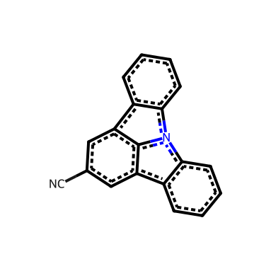 N#Cc1cc2c3ccccc3n3c4ccccc4c(c1)c23